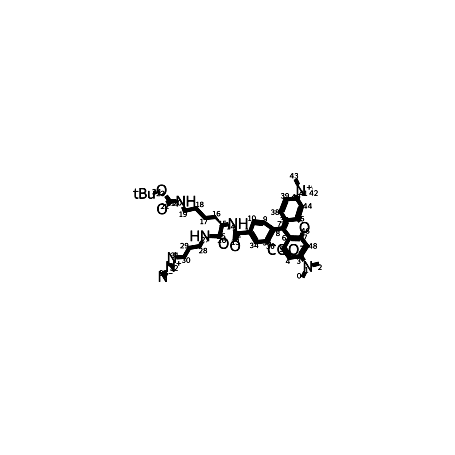 CN(C)c1ccc2c(-c3ccc(C(=O)N[C@H](CCCCNC(=O)OC(C)(C)C)C(=O)NCCCN=[N+]=[N-])cc3C(=O)[O-])c3ccc(=[N+](C)C)cc-3oc2c1